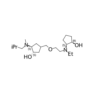 CCN(CCOCC1C[C@H](O)[C@@H](N(C)CC(C)C)C1)[C@H]1CCC[C@H]1O